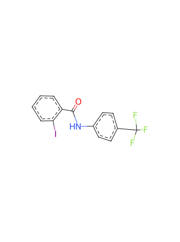 O=C(Nc1ccc(C(F)(F)F)cc1)c1ccccc1I